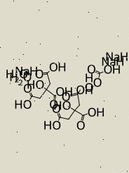 O.O.O=C(O)CC(O)(CC(=O)O)C(=O)O.O=C(O)CC(O)(CC(=O)O)C(=O)O.O=C(O)OO.[NaH].[NaH].[NaH]